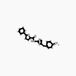 O=C(Nc1ncc(Cc2ccc(C(F)(F)F)cc2)s1)C1CCC(c2ccccc2)O1